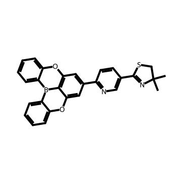 CC1(C)CSC(c2ccc(-c3cc4c5c(c3)Oc3ccccc3B5c3ccccc3O4)nc2)=N1